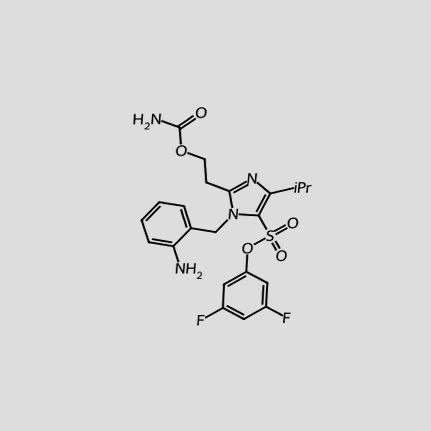 CC(C)c1nc(CCOC(N)=O)n(Cc2ccccc2N)c1S(=O)(=O)Oc1cc(F)cc(F)c1